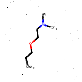 COCCOCCN(C)C(C)C